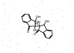 O=C1c2ccccc2C(O)C1(O)C1(O)C(=O)c2ccccc2C1(O)O